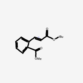 COC(=O)c1ccccc1/C=C/C(=O)OC(C)(C)C